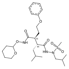 CC(C)C[C@@H](C(=O)NN(CC(C)C)S(C)(=O)=O)[C@H](CCOc1ccccc1)C(=O)NOC1CCCCO1